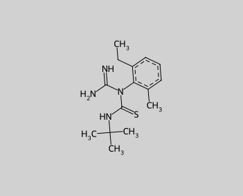 CCc1cccc(C)c1N(C(=N)N)C(=S)NC(C)(C)C